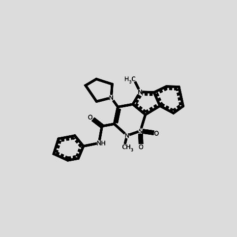 CN1C(C(=O)Nc2ccccc2)=C(N2CCCC2)c2c(c3ccccc3n2C)S1(=O)=O